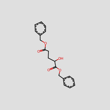 O=C(CCC(O)C(=O)OCc1ccccc1)OCc1ccccc1